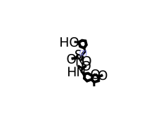 Cc1cc(=O)oc2cc(NC(=O)CN3C(=O)S/C(=C\c4cccc(O)c4)C3=O)ccc12